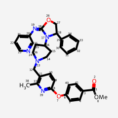 COC(=O)c1ccc(Oc2ccc(CN3CCC(N4/C(=N\c5cccnc5)OCC4c4ccccc4)CC3)c(C)n2)cc1